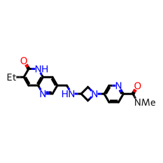 CCc1cc2ncc(CNC3CN(c4ccc(C(=O)NC)nc4)C3)cc2[nH]c1=O